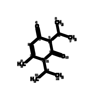 Cc1cc(=O)n(C(C)C)c(=O)n1C(C)C